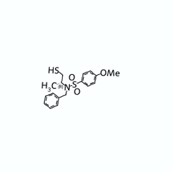 COc1ccc(S(=O)(=O)N(Cc2ccccc2)[C@H](C)CS)cc1